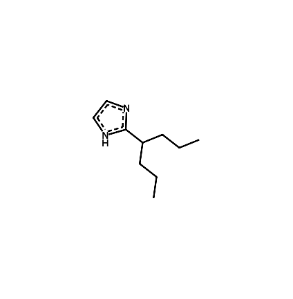 CCCC(CCC)c1ncc[nH]1